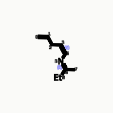 C=CC/C=C\N=C(/C)CC